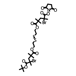 CC(C)(C)OC(=O)C(C)(Br)CC(C)(C)C(=O)OCCSSCCOC(=O)C(C)(C)CC(C)(Br)C(=O)ON1C(=O)CCC1=O